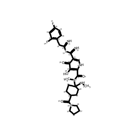 CNC1(N(C)C(=O)c2[nH]cc(C(=N)SC(=N)Cc3ccc(F)cc3F)c(=O)c2O)CCC(C(=O)N2CCCC2)CC1